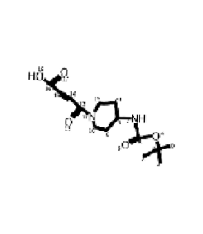 CC(C)(C)OC(=O)NC1CCN(C(=O)/C=C/C(=O)O)CC1